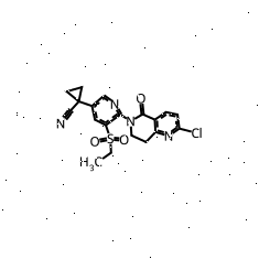 CCS(=O)(=O)c1cc(C2(C#N)CC2)cnc1N1CCc2nc(Cl)ccc2C1=O